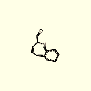 O=CC1C=CC=c2ccccc2=N1